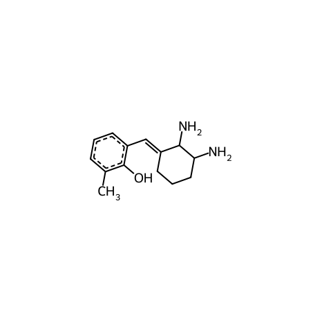 Cc1cccc(C=C2CCCC(N)C2N)c1O